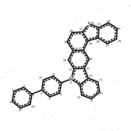 c1ccc(-c2ccc(-n3c4ccccc4c4cc5c(ccc6sc7ccccc7c65)cc43)cc2)cc1